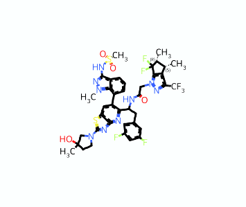 C[C@@H]1c2c(C(F)(F)F)nn(CC(=O)NC(Cc3cc(F)cc(F)c3)c3nc4nc(N5CCC(C)(O)C5)sc4cc3-c3cccc4c(NS(C)(=O)=O)nn(C)c34)c2C(F)(F)[C@@H]1C